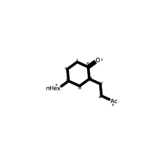 CCCCCCC1CCC(=O)C(CCC(C)=O)C1